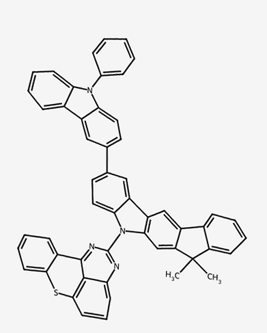 CC1(C)c2ccccc2-c2cc3c4cc(-c5ccc6c(c5)c5ccccc5n6-c5ccccc5)ccc4n(-c4nc5c6c(cccc6n4)Sc4ccccc4-5)c3cc21